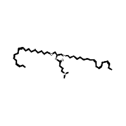 CC/C=C\C/C=C\C/C=C\CCCCCCCCOCC(COCCCCCCCC/C=C\C/C=C\C/C=C\CC)OC(=O)CCCN(C)C